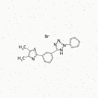 Cc1nc(-c2cccc(-c3nn[n+](-c4ccccc4)[nH]3)c2)sc1C.[Br-]